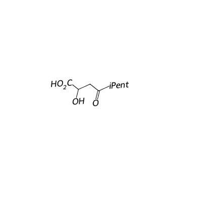 CCCC(C)C(=O)CC(O)C(=O)O